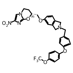 O=[N+]([O-])c1cn2c(n1)O[C@@H](COc1ccc3c(c1)CN(Cc1ccc(Oc4ccc(OC(F)(F)F)cc4)cc1)C3)CC2